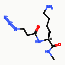 CNC(=O)[C@H](CCCCN)NC(=O)CCN=[N+]=[N-]